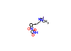 Cn1c(I)cnc1CCCC#Cc1cccc2c1CN(C1CCC(=O)NC1=O)C2=O